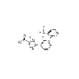 NC(=O)c1csc(-c2cccc(-c3ccccc3C(F)(F)F)c2)n1